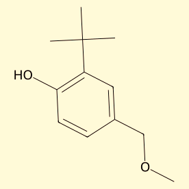 COCc1ccc(O)c(C(C)(C)C)c1